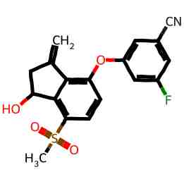 C=C1CC(O)c2c(S(C)(=O)=O)ccc(Oc3cc(F)cc(C#N)c3)c21